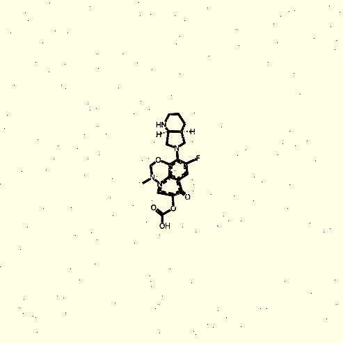 CN1COc2c(N3C[C@@H]4CCCN[C@@H]4C3)c(F)cc3c(=O)c(OC(=O)O)cn1c23